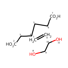 C=C.O=C(O)CCCCC(=O)O.OCCO